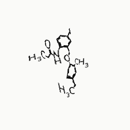 CCC(=O)Nc1ccc(I)cc1COc1ccc(CC)cc1C